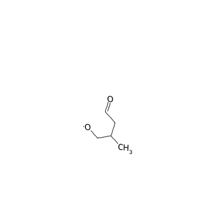 CC(C[O])CC=O